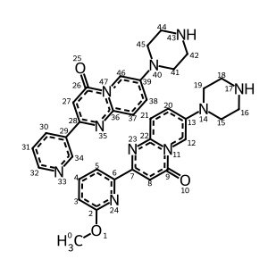 COc1cccc(-c2cc(=O)n3cc(N4CCNCC4)ccc3n2)n1.O=c1cc(-c2cccnc2)nc2ccc(N3CCNCC3)cn12